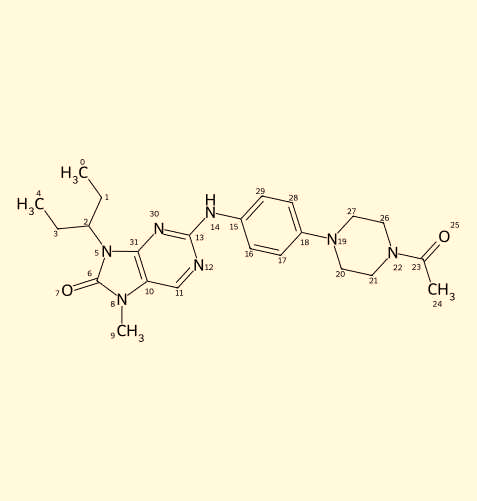 CCC(CC)n1c(=O)n(C)c2cnc(Nc3ccc(N4CCN(C(C)=O)CC4)cc3)nc21